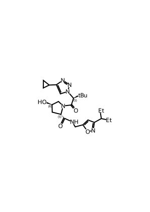 CCC(CC)c1cc(CNC(=O)[C@@H]2C[C@@H](O)CN2C(=O)[C@@H](n2cc(C3CC3)nn2)C(C)(C)C)on1